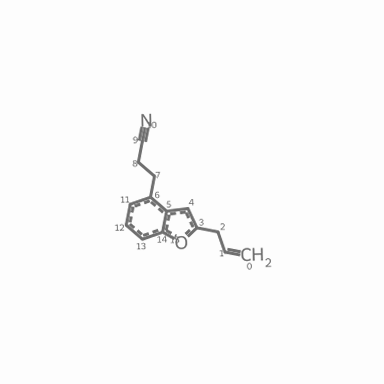 C=CCc1cc2c(CCC#N)cccc2o1